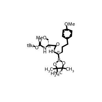 COC[C@@H](NC(=O)OC(C)(C)C)C(=O)N[C@@H](CCCc1ccc(OC)cc1)B1OC(C)(C)C(C)(C)O1